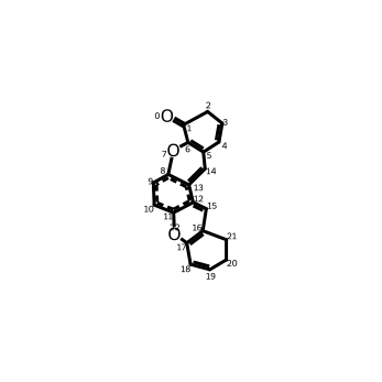 O=C1CC=CC2=C1Oc1ccc3c(c1=C2)=CC1=C(C=CCC1)O3